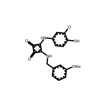 COc1cccc(CNc2c(Nc3ccc(O)c(Cl)c3)c(=O)c2=O)c1